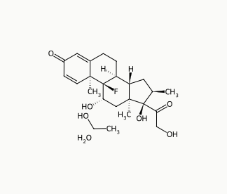 CCO.C[C@@H]1C[C@H]2[C@@H]3CCC4=CC(=O)C=C[C@]4(C)[C@@]3(F)[C@@H](O)C[C@]2(C)[C@@]1(O)C(=O)CO.O